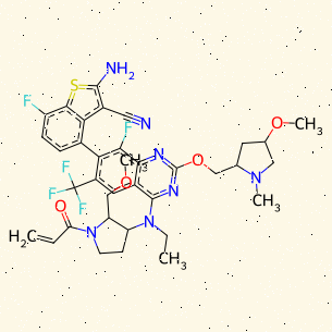 C=CC(=O)N1CCC(N(CC)c2nc(OCC3CC(OC)CN3C)nc3c(F)c(-c4ccc(F)c5sc(N)c(C#N)c45)c(C(F)(F)F)cc23)C1COC